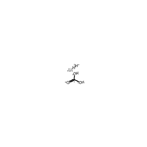 O=C(O)O.[H+].[H+].[Li+]